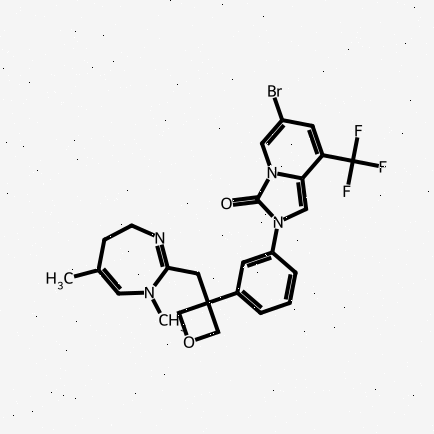 CC1=CN(C)C(CC2(c3cccc(-n4cc5c(C(F)(F)F)cc(Br)cn5c4=O)c3)COC2)=NCC1